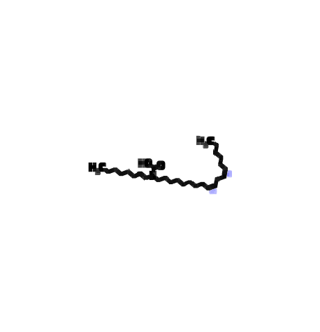 CCCCC/C=C\C/C=C\CCCCCCCCN(CCCCCCCC)C(=O)O